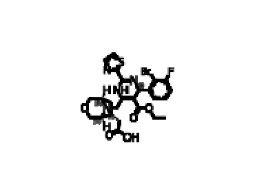 CCOC(=O)C1=C(CN2[C@H]3COC[C@@H]2[C@@H](CC(=O)O)C3)NC(c2nccs2)=N[C@H]1c1cccc(F)c1Br